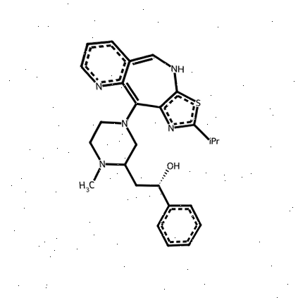 CC(C)c1nc2c(s1)NC=c1cccnc1=C2N1CCN(C)C(C[C@H](O)c2ccccc2)C1